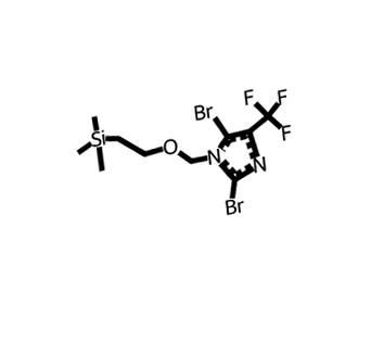 C[Si](C)(C)CCOCn1c(Br)nc(C(F)(F)F)c1Br